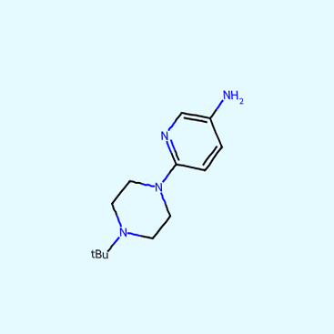 CC(C)(C)N1CCN(c2ccc(N)cn2)CC1